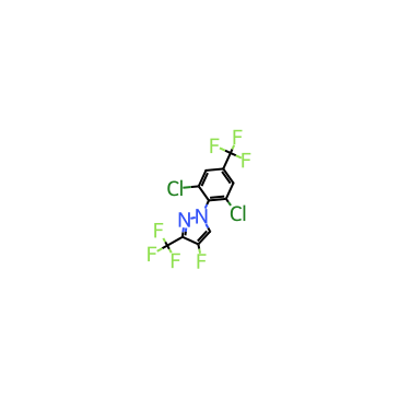 Fc1cn(-c2c(Cl)cc(C(F)(F)F)cc2Cl)nc1C(F)(F)F